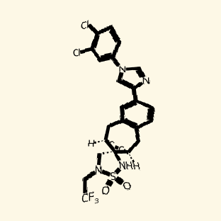 O=S1(=O)N[C@@]2(CN1CC(F)(F)F)[C@@H]1CC[C@H]2Cc2ccc(-c3cn(-c4ccc(Cl)c(Cl)c4)cn3)cc2C1